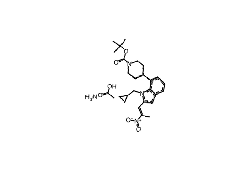 C/C(=C\c1cc2cccc(C3CCN(C(=O)OC(C)(C)C)CC3)c2n1CC1CC1)[N+](=O)[O-].CC(=O)O.N